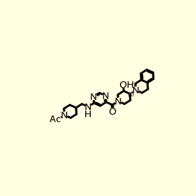 CC(=O)N1CCC(CNc2cc(C(=O)N3CC[C@H](N4CCc5ccccc5C4)C(O)C3)ncn2)CC1